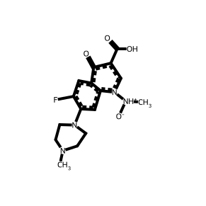 CN1CCN(c2cc3c(cc2F)c(=O)c(C(=O)O)cn3[NH+](C)[O-])CC1